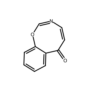 O=C1C=CN=COc2ccccc21